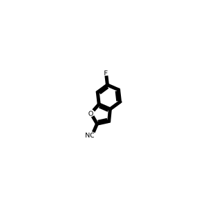 N#Cc1cc2[c]cc(F)cc2o1